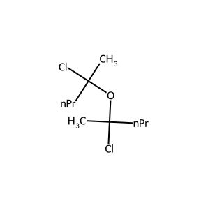 CCCC(C)(Cl)OC(C)(Cl)CCC